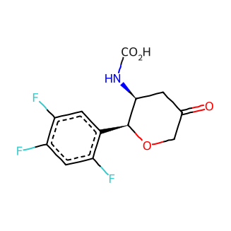 O=C1CO[C@@H](c2cc(F)c(F)cc2F)[C@@H](NC(=O)O)C1